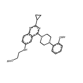 COCCNc1ccc2nc(C3CC3)nc(N3CCN(c4ccccc4OC)CC3)c2c1